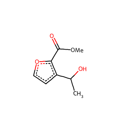 COC(=O)c1occc1C(C)O